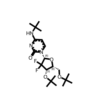 CC(C)(C)Nc1ccn([C@@H]2O[C@H](COC(C)(C)C)[C@H](OC(C)(C)C)C2(F)F)c(=O)n1